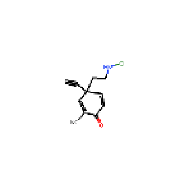 C#CC1(CCNCl)C=CC(=O)C(C#N)=C1